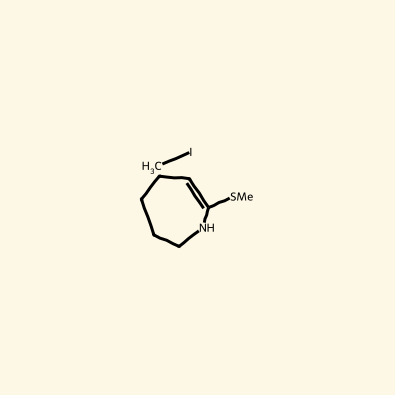 CI.CSC1=CCCCCN1